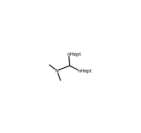 CCCCCCCC(CCCCCCC)N(C)C